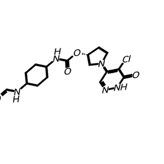 O=CNC1CCC(NC(=O)O[C@@H]2CCN(c3cn[nH]c(=O)c3Cl)C2)CC1